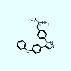 N[C@@H](Cc1ccc(-n2nncc2-c2ccc(Oc3ccccc3)cc2)cc1)C(=O)O